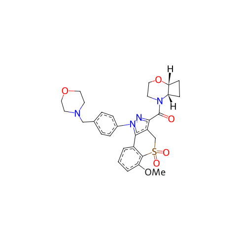 COc1cccc2c1S(=O)(=O)Cc1c(C(=O)N3CCO[C@@H]4CC[C@@H]43)nn(-c3ccc(CN4CCOCC4)cc3)c1-2